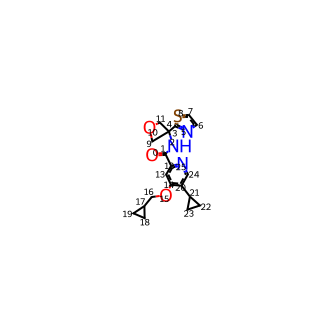 O=C(NC1(c2nccs2)COC1)c1cc(OCC2CC2)c(C2CC2)cn1